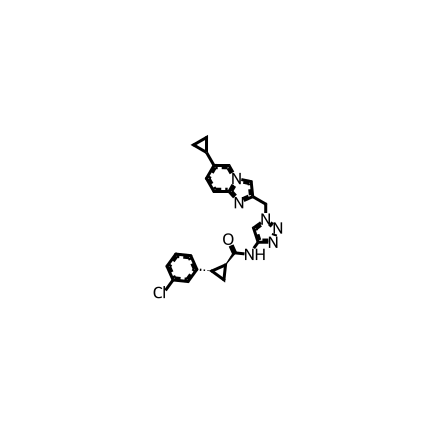 O=C(Nc1cn(Cc2cn3cc(C4CC4)ccc3n2)nn1)[C@H]1C[C@@H]1c1cccc(Cl)c1